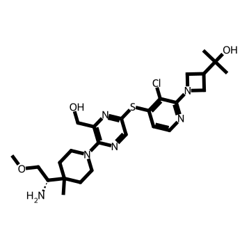 COC[C@@H](N)C1(C)CCN(c2ncc(Sc3ccnc(N4CC(C(C)(C)O)C4)c3Cl)nc2CO)CC1